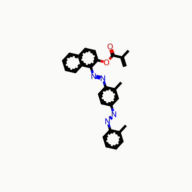 C=C(C)C(=O)Oc1ccc2ccccc2c1N=Nc1ccc(N=Nc2ccccc2C)cc1C